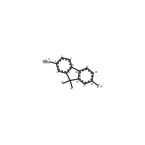 CC(C)(C)c1ccc2c(c1)C(C)(C)c1cc(F)ccc1-2